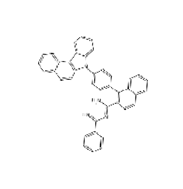 N=C(/N=C(\N)c1ccc2ccccc2c1-c1ccc(-n2c3ccccc3c3c4ccccc4ccc32)cc1)c1ccccc1